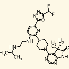 CC(C)NCCNc1ccc(-c2nnc(C(F)F)o2)nc1C1CCN(c2ncnc3c2C(C)(C)C(=O)N3)CC1